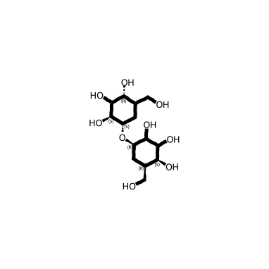 OCC1C[C@H](O[C@@H]2C[C@H](CO)[C@H](O)C(O)C2O)[C@@H](O)C(O)[C@@H]1O